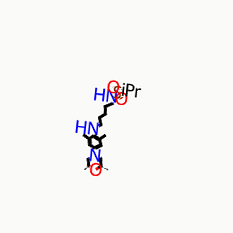 Cc1cc(N2C[C@@H](C)O[C@@H](C)C2)cc(C)c1NCCCCCNS(=O)(=O)C(C)C